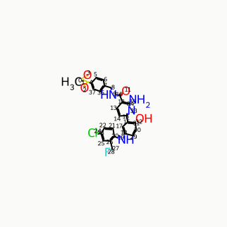 CS(=O)(=O)c1ccc(CNC(=O)c2ccc(-c3cc(Nc4ccc(Cl)cc4CF)ccc3O)nc2N)cc1